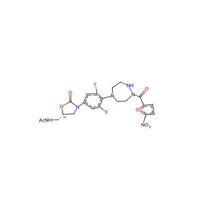 CC(=O)NC[C@H]1CN(c2cc(F)c(N3CCNN(C(=O)c4ccc([N+](=O)[O-])o4)CC3)c(F)c2)C(=O)O1